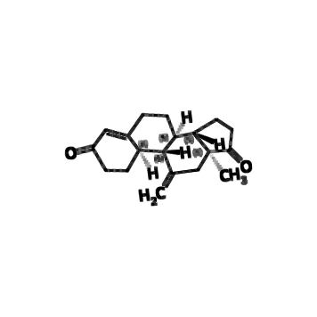 C=C1C[C@]2(C)C(=O)CC[C@H]2[C@@H]2CCC3=CC(=O)CC[C@@H]3[C@@H]12